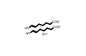 CCCC=CCCCCC(=O)[O-].CCCC=CCCCCC(=O)[O-].[Zn+2]